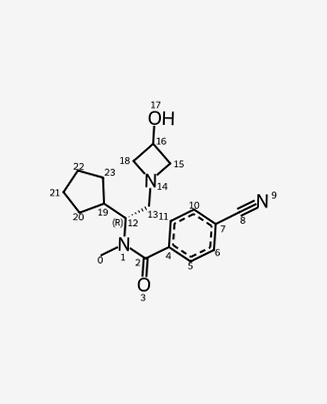 CN(C(=O)c1ccc(C#N)cc1)[C@@H](CN1CC(O)C1)C1CCCC1